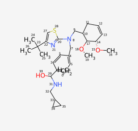 C=C(/C=C\C(=C/C)CN(CC1CC=C[C@H](OC)C1OC)c1nc(C(C)(C)C)cs1)C(O)NCC1CC1